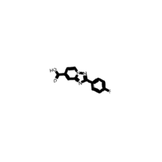 O=C(O)c1ccn2nc(-c3ccc(F)cc3)nc2c1